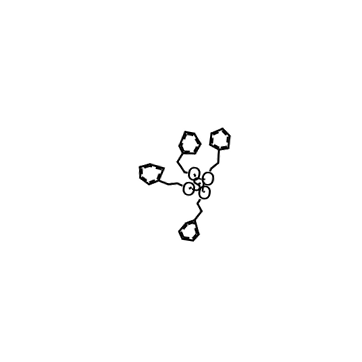 c1ccc(CCO[Si](OCCc2ccccc2)(OCCc2ccccc2)OCCc2ccccc2)cc1